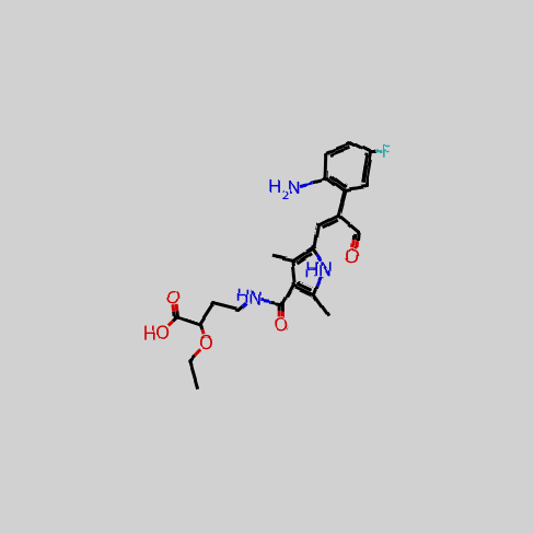 CCOC(CCNC(=O)c1c(C)[nH]c(/C=C(\C=O)c2cc(F)ccc2N)c1C)C(=O)O